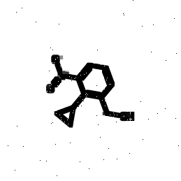 O=[N+]([O-])c1cccc([CH]O)c1C1CC1